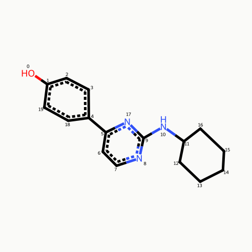 Oc1ccc(-c2ccnc(NC3CCCCC3)n2)cc1